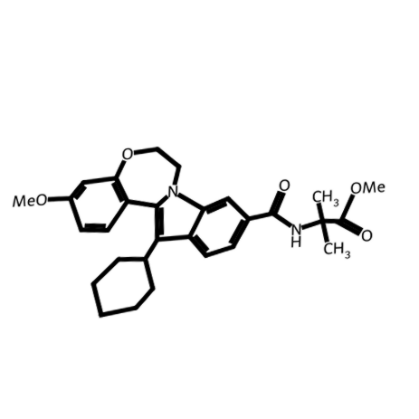 COC(=O)C(C)(C)NC(=O)c1ccc2c(C3CCCCC3)c3n(c2c1)CCOc1cc(OC)ccc1-3